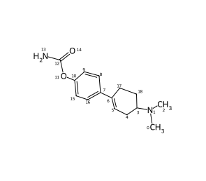 CN(C)C1CC=C(c2ccc(OC(N)=O)cc2)CC1